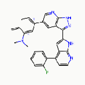 C=C/C(=C\C(=C/C)c1cnc2[nH]nc(-c3cc4c(-c5ccccc5F)ccnc4[nH]3)c2c1)N(C)C